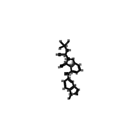 Cn1ncc2cc(Nc3cccc4c3C(=O)N(C(=O)OC(C)(C)C)C4)ccc21